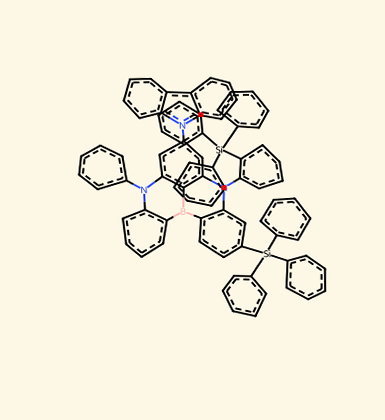 c1ccc(N2c3ccccc3B3c4ccc([Si](c5ccccc5)(c5ccccc5)c5ccccc5)cc4N(c4ccccc4[Si](c4ccccc4)(c4ccccc4)c4ccccc4)c4cc(-n5c6ccccc6c6ccccc65)cc2c43)cc1